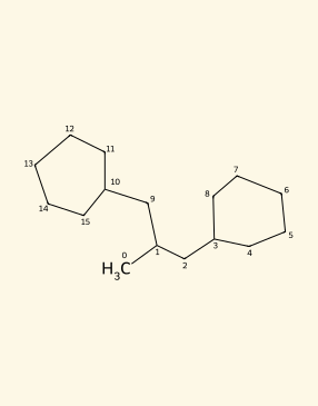 CC(CC1CCCCC1)CC1CCCCC1